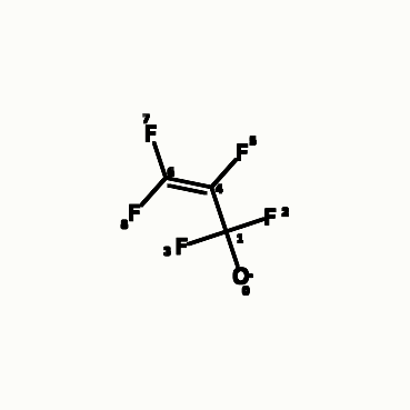 [O]C(F)(F)C(F)=C(F)F